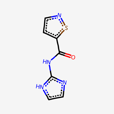 O=C(Nc1ncc[nH]1)c1ccns1